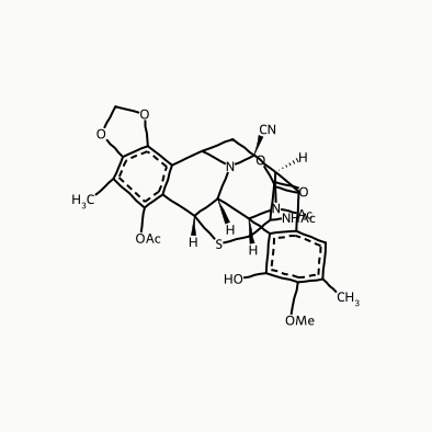 COc1c(C)cc2c(c1O)[C@@H]1[C@@H]3[C@@H]4SCC(NC(C)=O)C(=O)OCC(c5c6c(c(C)c(OC(C)=O)c54)OCO6)N3[C@@H](C#N)[C@@H](C2)N1C(C)=O